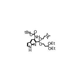 CCOC(CCOC(OCC[Si](C)(C)C)c1nc2[nH]ccc2cc1NC(=O)OC(C)(C)C)OCC